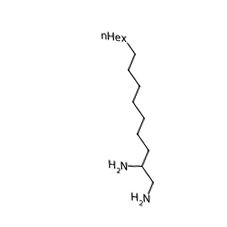 CCCCCCCCCCCCCC(N)CN